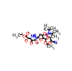 CCOC(=O)C(=O)C1N=NN(C2CC(OP(OCCC#N)N(C(C)C)C(C)C)C(COC(C)=O)O2)C(=O)C1=O